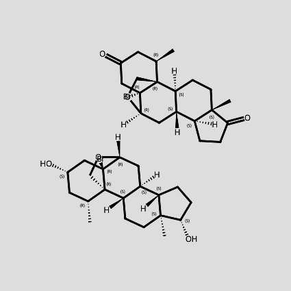 C[C@@H]1CC(=O)C[C@]2(Br)[C@H]3C[C@@H]4[C@H](CC[C@]5(C)C(=O)CC[C@@H]45)[C@@]12CO3.C[C@@H]1C[C@H](O)C[C@]2(Br)[C@H]3C[C@H]4[C@@H]5CC[C@H](O)[C@@]5(C)CC[C@@H]4[C@@]12CO3